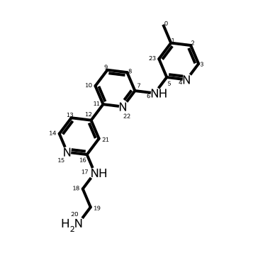 Cc1ccnc(Nc2cccc(-c3ccnc(NCCN)c3)n2)c1